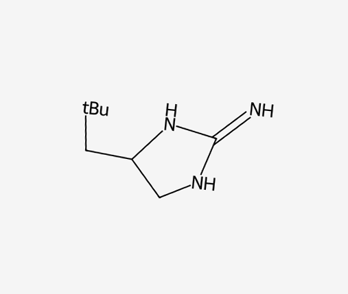 CC(C)(C)CC1CNC(=N)N1